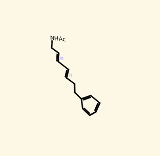 CC(=O)NC/C=C/C=C/CCc1ccccc1